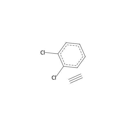 C#C.Clc1ccccc1Cl